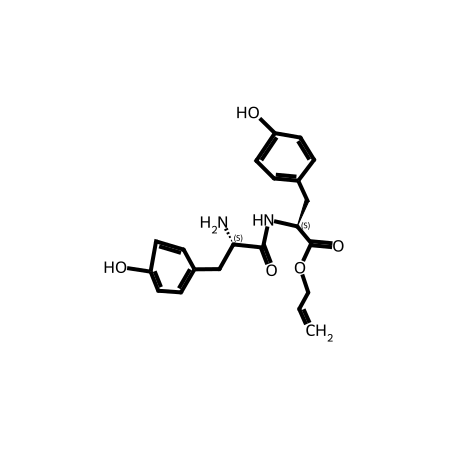 C=CCOC(=O)[C@H](Cc1ccc(O)cc1)NC(=O)[C@@H](N)Cc1ccc(O)cc1